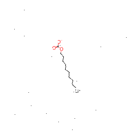 CCCCCCCCCCOC(=O)[O-].[Li+]